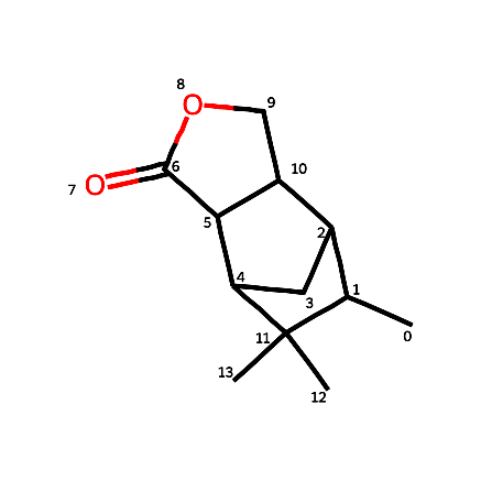 CC1C2CC(C3C(=O)OCC23)C1(C)C